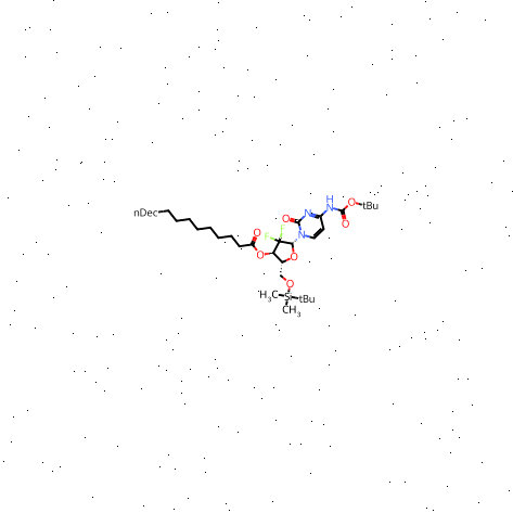 CCCCCCCCCCCCCCCCCCC(=O)O[C@@H]1[C@@H](CO[Si](C)(C)C(C)(C)C)O[C@@H](n2ccc(NC(=O)OC(C)(C)C)nc2=O)C1(F)F